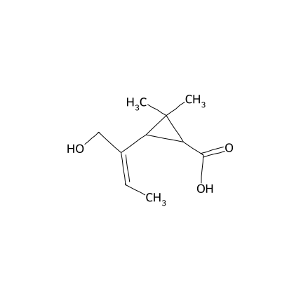 C/C=C(/CO)C1C(C(=O)O)C1(C)C